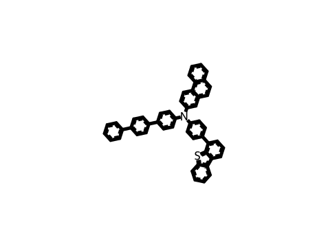 c1ccc(-c2ccc(-c3ccc(N(c4ccc(-c5cccc6c5sc5ccccc56)cc4)c4ccc5c(ccc6ccccc65)c4)cc3)cc2)cc1